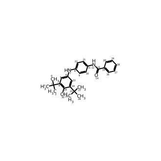 CC(C)(C)c1cc(Nc2ccc(NC(=O)c3ccccc3)cc2)cc(C(C)(C)C)c1O